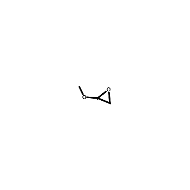 CO[C]1CO1